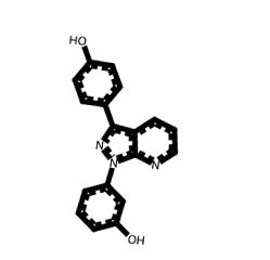 Oc1ccc(-c2nn(-c3cccc(O)c3)c3ncccc23)cc1